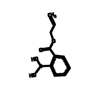 C=CCOC(=O)c1ccccc1B(O)O